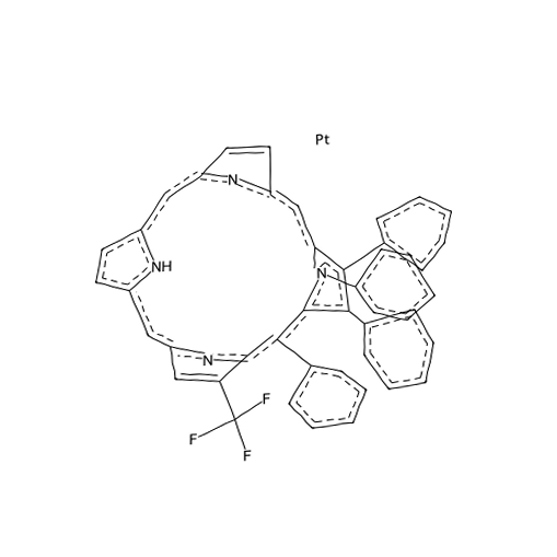 FC(F)(F)C1=Cc2cc3ccc(cc4nc(cc5c(-c6ccccc6)c(-c6ccccc6)c(c(-c6ccccc6)c1n2)n5-c1ccccc1)C=C4)[nH]3.[Pt]